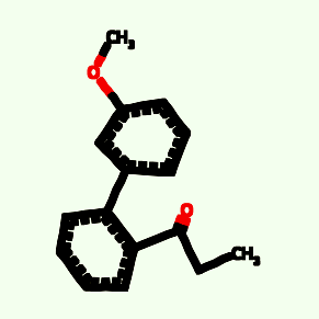 CCC(=O)c1ccccc1-c1cccc(OC)c1